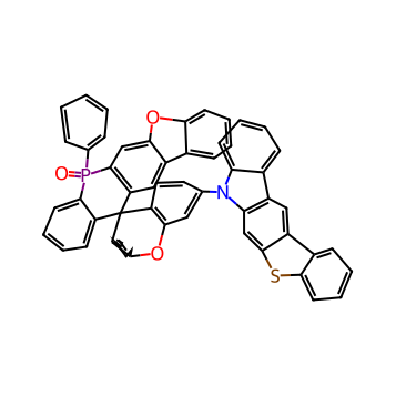 O=P1(c2ccccc2)c2ccccc2C2(c3ccccc3Oc3cc(-n4c5ccccc5c5cc6c(cc54)sc4ccccc46)ccc32)c2cc3c(cc21)oc1ccccc13